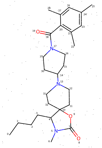 CCCCC1N(C)C(=O)OC12CCN(C1CCN(C(=O)c3c(C)cc(C)cc3C)CC1)CC2